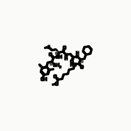 COC(=O)CCCCCNC(=O)[C@H](CC1CCCCC1)NC(=O)CNC(=O)[C@@H](CCSC)NC(=O)[C@H](N)Cc1c(C)cc(O)cc1C